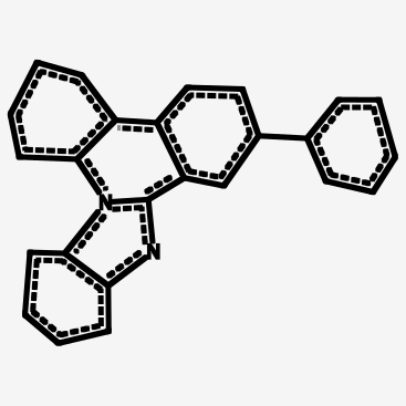 c1ccc(-c2ccc3c4ccccc4n4c5ccccc5nc4c3c2)cc1